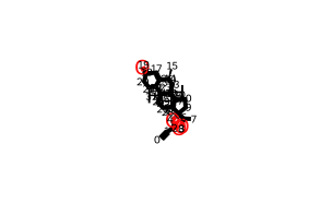 C#CC(=O)OC1(C(C)=O)CC[C@H]2[C@@H]3C[C@H](C)C4=CC(=O)CC[C@]4(C)[C@H]3CC[C@@]21C